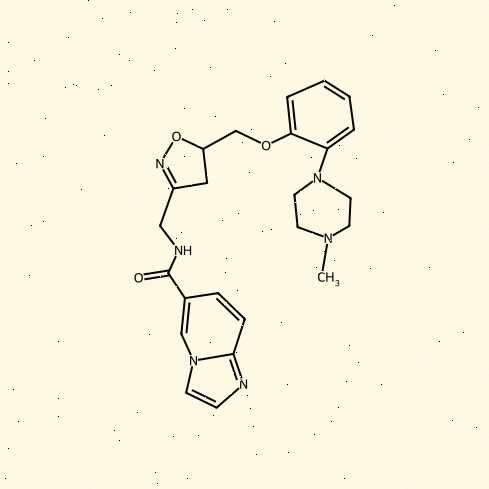 CN1CCN(c2ccccc2OCC2CC(CNC(=O)c3ccc4nccn4c3)=NO2)CC1